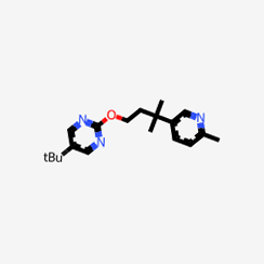 Cc1ccc(C(C)(C)CCOc2ncc(C(C)(C)C)cn2)cn1